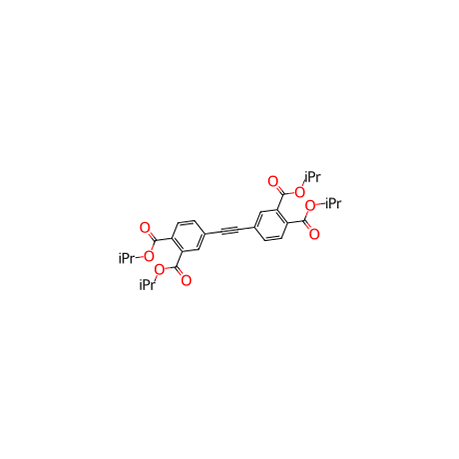 CC(C)OC(=O)c1ccc(C#Cc2ccc(C(=O)OC(C)C)c(C(=O)OC(C)C)c2)cc1C(=O)OC(C)C